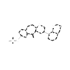 CS(=O)(=O)Nc1ccc2ccc3ncc(-c4cccc5cccnc45)cc3c(=O)c2c1